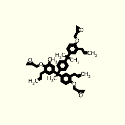 C=CCc1cc(C(C)(C)c2ccc(C(C)(c3ccc(OCC4CO4)c(CC=C)c3)c3cc(C)c(OCC4CO4)c(CC=C)c3)cc2)ccc1OCC1CO1